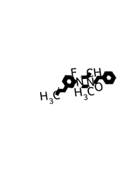 C[CH]Cc1ccc(F)c(N2CC(C)N(C(=O)Cc3ccccc3)C(C)C2)c1